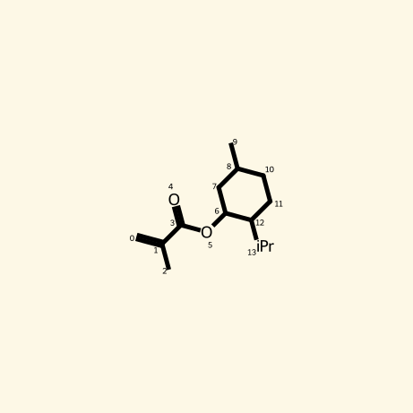 C=C(C)C(=O)OC1CC(C)CCC1C(C)C